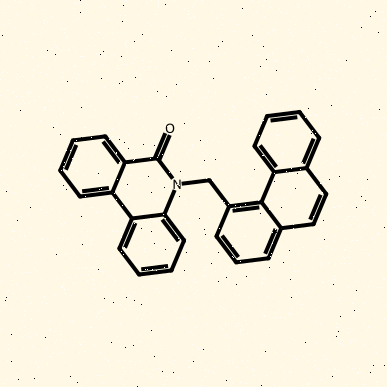 O=c1c2ccccc2c2ccccc2n1Cc1cccc2ccc3ccccc3c12